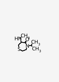 CNC1CSCCN(C(C)C)C1=O